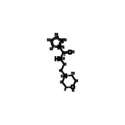 O=C(NCCN1CCOCC1)n1cc[c]n1